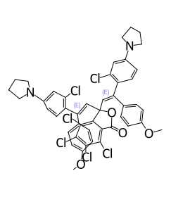 COc1ccc(/C(=C\C2(/C=C(\c3ccc(OC)cc3)c3ccc(N4CCCC4)cc3Cl)OC(=O)c3c(Cl)c(Cl)c(Cl)c(Cl)c32)c2ccc(N3CCCC3)cc2Cl)cc1